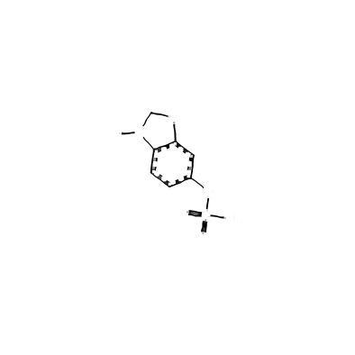 O=S(=O)(Oc1ccc2c(c1)OC[S+]2[O-])C(F)(F)F